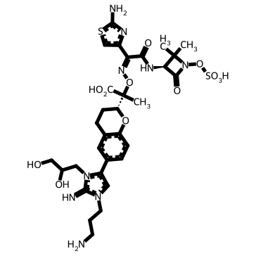 CC(O/N=C(\C(=O)N[C@@H]1C(=O)N(OS(=O)(=O)O)C1(C)C)c1csc(N)n1)(C(=O)O)[C@H]1CCc2cc(-c3cn(CCCN)c(=N)n3CC(O)CO)ccc2O1